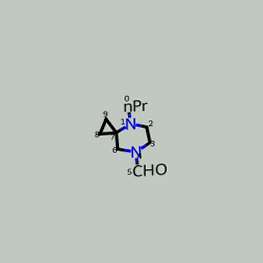 CCCN1CCN(C=O)CC12CC2